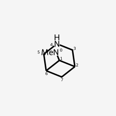 CNC1C2CNCC1C2